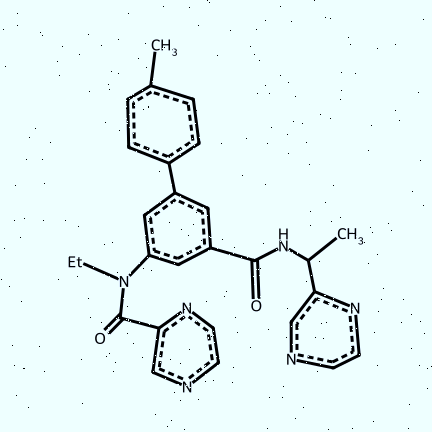 CCN(C(=O)c1cnccn1)c1cc(C(=O)NC(C)c2cnccn2)cc(-c2ccc(C)cc2)c1